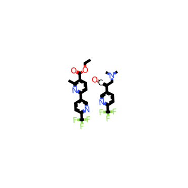 CCOC(=O)c1ccc(-c2ccc(C(F)(F)F)nc2)nc1C.CN(C)CC(=C=O)c1ccc(C(F)(F)F)nc1